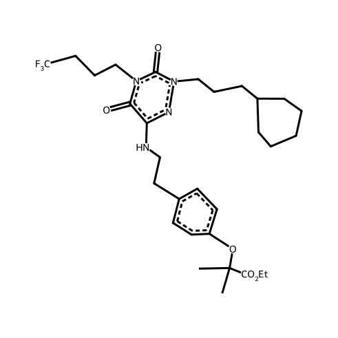 CCOC(=O)C(C)(C)Oc1ccc(CCNc2nn(CCCC3CCCCC3)c(=O)n(CCCC(F)(F)F)c2=O)cc1